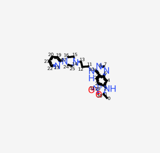 CCNc1cc2ncnc(NCCCN3CCN(c4ccccn4)CC3)c2cc1[N+](=O)[O-]